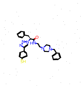 O=C(NCCN1CCN(Cc2ccccc2)CC1)[C@H](Cc1ccccc1)n1cc(-c2ccc(S)cc2)nn1